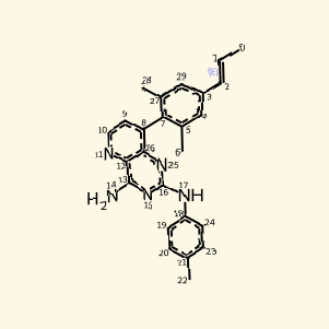 C/C=C/c1cc(C)c(-c2ccnc3c(N)nc(Nc4ccc(C)cc4)nc23)c(C)c1